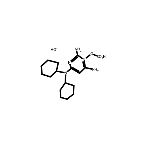 Nc1cc(N(C2CCCCC2)C2CCCCC2)nc(N)[n+]1OS(=O)(=O)O.[OH-]